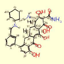 CN(Cc1cccc(-c2ccc(O)c3c2C[C@H]2C[C@H]4[C@H](N(C)C)C(O)=C(C(N)=O)C(=O)[C@@]4(O)C(O)=C2C3=O)c1)C1CCCCC1